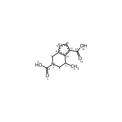 CC1CN(C(=O)O)Cc2scc(C(=O)O)c21